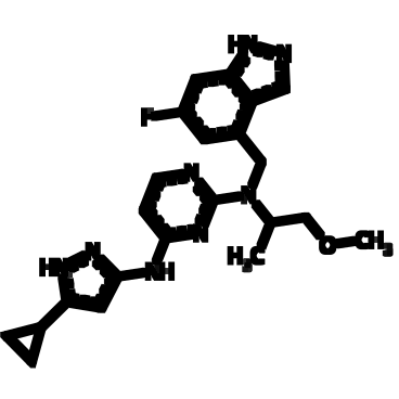 COCC(C)N(Cc1cc(F)cc2[nH]ncc12)c1nccc(Nc2cc(C3CC3)[nH]n2)n1